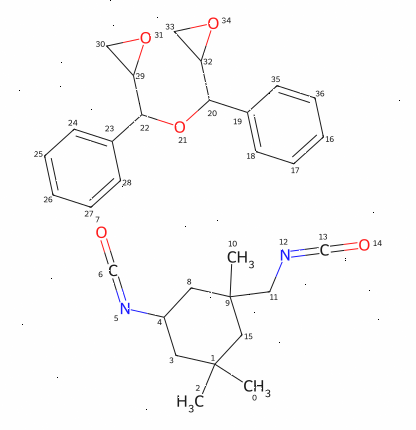 CC1(C)CC(N=C=O)CC(C)(CN=C=O)C1.c1ccc(C(OC(c2ccccc2)C2CO2)C2CO2)cc1